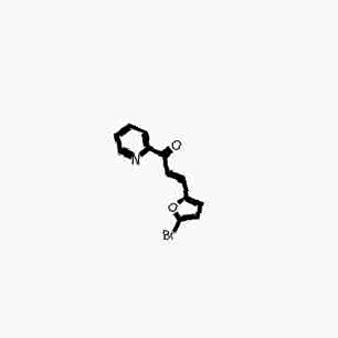 O=C(C=Cc1ccc(Br)o1)c1ccccn1